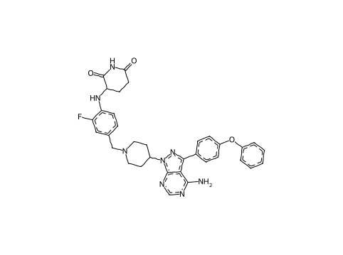 Nc1ncnc2c1c(-c1ccc(Oc3ccccc3)cc1)nn2C1CCN(Cc2ccc(NC3CCC(=O)NC3=O)c(F)c2)CC1